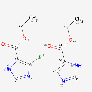 CCOC(=O)c1[nH]cnc1Br.CCOC(=O)c1cnc[nH]1